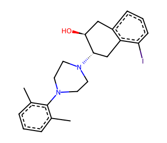 Cc1cccc(C)c1N1CCN([C@H]2Cc3c(I)cccc3C[C@@H]2O)CC1